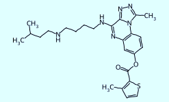 Cc1ccsc1C(=O)Oc1ccc2c(c1)nc(NCCCCNCCC(C)C)c1nnc(C)n12